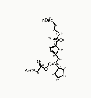 CCCCCCCCCCCCNS(=O)(=O)c1ccc(CN(OOC(=O)COC(C)=O)C2CCCC2)s1